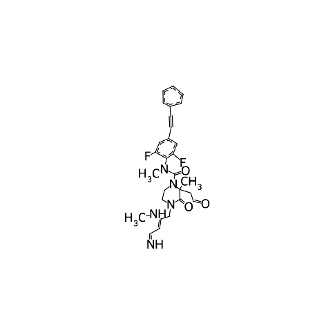 CN/C(=C\C=N)CN1CCN(C(=O)N(C)c2c(F)cc(C#Cc3ccccc3)cc2F)C(C)(CC=O)C1=O